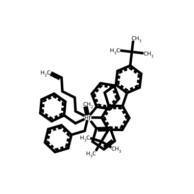 C=CCC[CH2][Hf](=[CH2])([CH2]c1ccccc1)([CH2]c1ccccc1)([C]1=CC=CC1)([c]1ccccc1)[c]1c(C(C)(C)C)ccc2c1Cc1cc(C(C)(C)C)ccc1-2